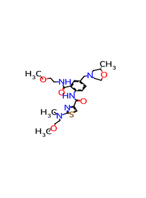 COCCNC(=O)c1cc(CN2CCO[C@@H](C)C2)ccc1NC(=O)c1csc(N(C)CCOC)n1